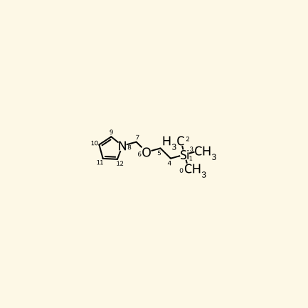 C[Si](C)(C)CCOCn1cccc1